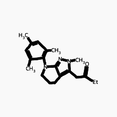 CCC(=O)Cc1c2c(nn1C)N(c1c(C)cc(C)cc1C)CCC2